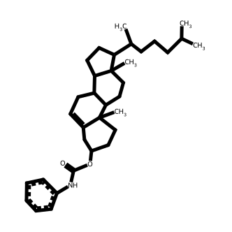 CC(C)CCCC(C)C1CCC2C3CC=C4CC(OC(=O)Nc5ccccc5)CCC4(C)C3CCC12C